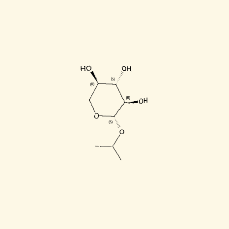 CC(C)O[C@@H]1OC[C@@H](O)[C@H](O)[C@H]1O